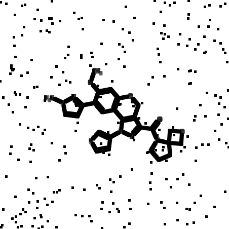 COc1cc2c(cc1-c1ccn(C)n1)-c1c(c(C(=O)N3CCCC34COC4)nn1-c1ccsc1)CO2